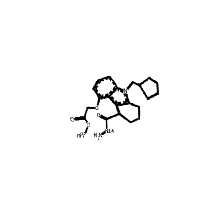 CCCOC(=O)COc1cccc2c1c1c(n2CC2CCCC2)CCCC1C(=O)NN